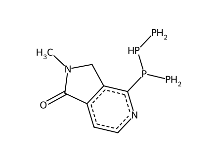 CN1Cc2c(ccnc2P(P)PP)C1=O